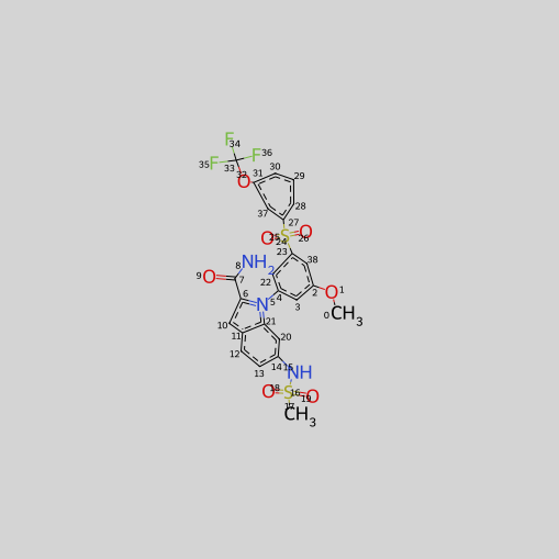 COc1cc(-n2c(C(N)=O)cc3ccc(NS(C)(=O)=O)cc32)cc(S(=O)(=O)c2cccc(OC(F)(F)F)c2)c1